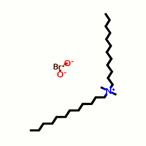 CCCCCCCCCCCC[N+](C)(C)CCCCCCCCCCCC.[O-][Br+][O-]